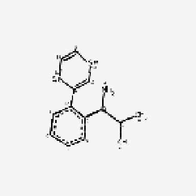 CC(C)C(N)c1ccccc1C1=C[Se]C=C[Se]1